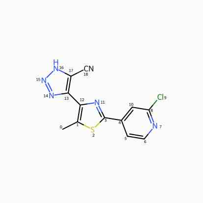 Cc1sc(-c2ccnc(Cl)c2)nc1-c1nn[nH]c1C#N